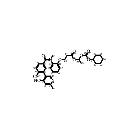 Cc1cc(C#N)c(-c2cc(C(=O)N(C)c3ccccc3OCCC(=O)OC(C)OC(=O)OC3CCCCC3)ccc2Cl)cn1